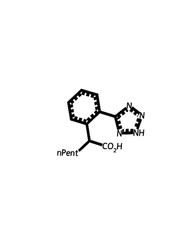 CCCCCC(C(=O)O)c1ccccc1-c1nn[nH]n1